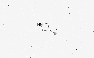 [S]C1CNC1